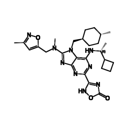 Cc1cc(CN(C)c2nc3nc(-c4nc(=O)o[nH]4)nc(N[C@H](C)C4CCC4)c3n2C[C@H]2CC[C@H](C)CC2)on1